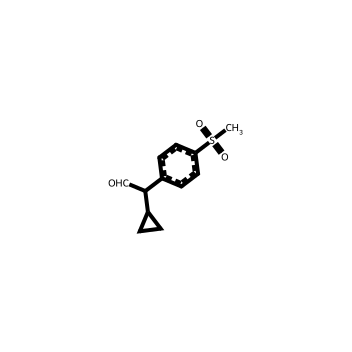 CS(=O)(=O)c1ccc(C(C=O)C2CC2)cc1